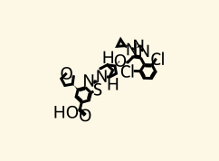 O=C(O)c1cc([C@@H]2CCOC2)c2nc(N3C[C@@H]4C[C@H]3C[C@H]4OCc3c(-c4c(Cl)cccc4Cl)nnn3C3CC3)sc2c1